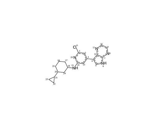 Clc1cc(-c2c[nH]c3nccnc23)cc(NC2CCCC(C3CC3)C2)n1